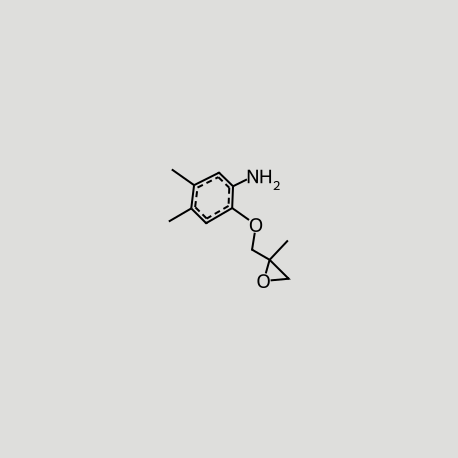 Cc1cc(N)c(OCC2(C)CO2)cc1C